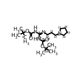 CC(C)(C)OC(=O)NC(=NCCCN1CCCC1)NC(=O)OC(C)(C)C